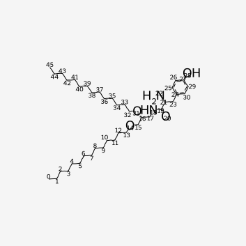 CCCCCCCCCCCCCCOCC(CNC(=O)[C@@H](N)Cc1ccc(O)cc1)OCCCCCCCCCCCCCC